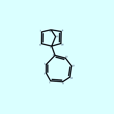 C1=CC=CC(C23C=CC(C=C2)C3)=CC=C1